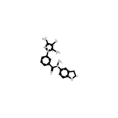 Cc1nn(-c2cccc(C(=O)N(C)c3ccc4c(c3)CCO4)c2)c(C)c1Cl